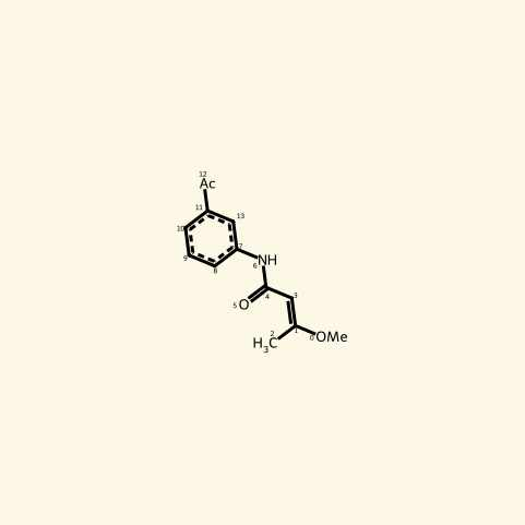 COC(C)=CC(=O)Nc1cccc(C(C)=O)c1